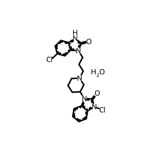 O.O=c1[nH]c2ccc(Cl)cc2n1CCCN1CCCC(n2c(=O)n(Cl)c3ccccc32)C1